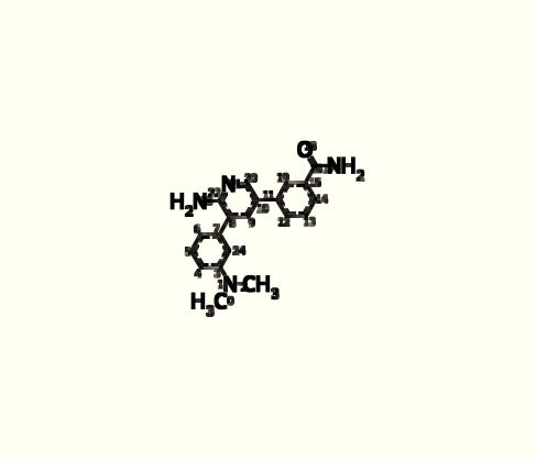 CN(C)c1cccc(-c2cc(-c3cccc(C(N)=O)c3)cnc2N)c1